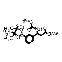 COC(=O)CC(NC(=O)OC(C)(C)C)c1cccc(B2OC(C)(C)C(C)(C)O2)c1